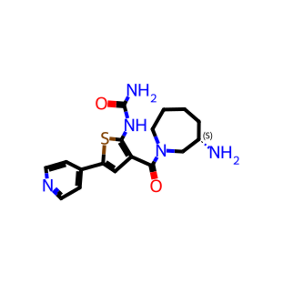 NC(=O)Nc1sc(-c2ccncc2)cc1C(=O)N1CCCC[C@H](N)C1